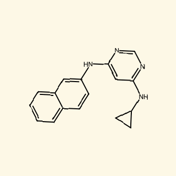 c1ccc2cc(Nc3cc(NC4CC4)ncn3)ccc2c1